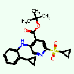 CC(C)(C)OC(=O)c1cc(S(=O)(=O)C2CC2)ncc1Nc1ccccc1C1CC1